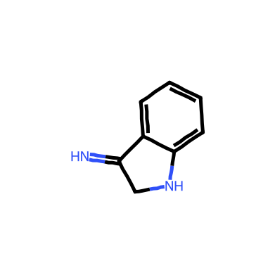 N=C1CNc2ccccc21